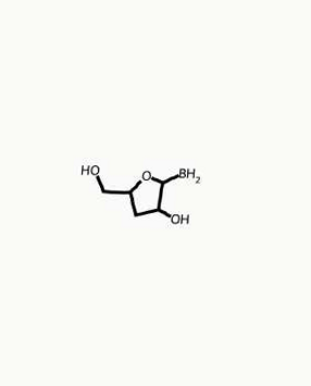 BC1OC(CO)CC1O